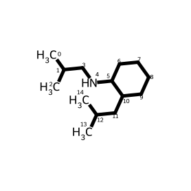 CC(C)CNC1CCCCC1CC(C)C